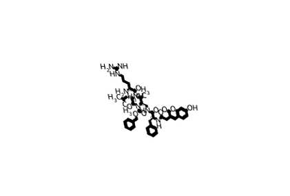 CC(C)C[C@H](NC(=O)[C@@H](N)CCCNC(=N)N)C(=O)N(C(=O)OCc1ccccc1)[C@H](CNC(=O)[C@H](Cc1ccccc1)NC(=O)Cc1cc2ccc(O)cc2oc1=O)C(C)C